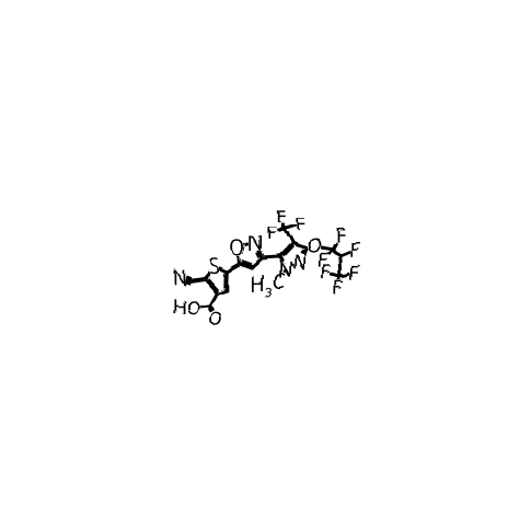 Cn1nc(OC(F)(F)C(F)C(F)(F)F)c(C(F)(F)F)c1-c1cc(-c2cc(C(=O)O)c(C#N)s2)on1